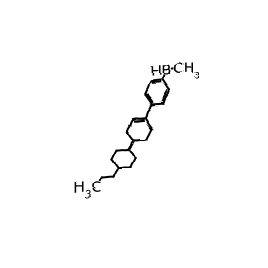 CBc1ccc(C2=CCC(C3CCC(CCC)CC3)CC2)cc1